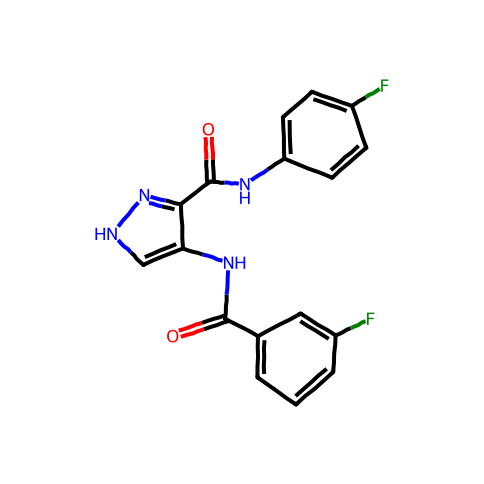 O=C(Nc1c[nH]nc1C(=O)Nc1ccc(F)cc1)c1cccc(F)c1